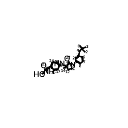 CC(C)(C)Cc1cccc(N2CCC(C)(Nc3ccc(C(=O)NO)cc3)C2=O)c1